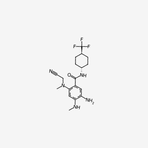 CNc1cc(N(C)CC#N)c(C(=O)N[C@H]2CC[C@H](C(F)(F)F)CC2)cc1N